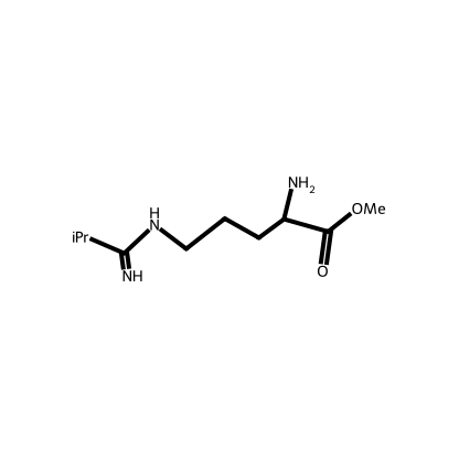 COC(=O)C(N)CCCNC(=N)C(C)C